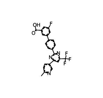 Cc1ccc(-c2cc(C(F)(F)F)nc(-c3ccc(-c4cc(F)cc(C(=O)O)c4)cc3)n2)cn1